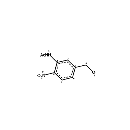 CC(=O)Nc1cc(C[O])ccc1[N+](=O)[O-]